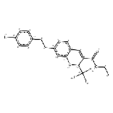 CCOC(=O)C1=Cc2ccc(CCc3ccc(Cl)cc3)cc2OC1C(F)(F)F